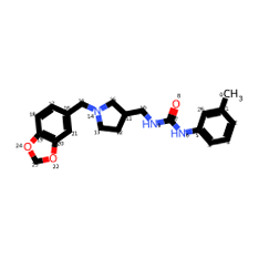 Cc1cccc(NC(=O)NCC2CCN(Cc3ccc4c(c3)OCO4)C2)c1